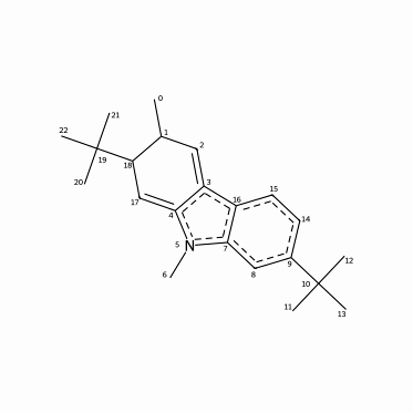 CC1C=c2c(n(C)c3cc(C(C)(C)C)ccc23)=CC1C(C)(C)C